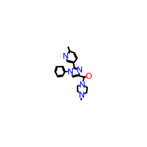 Cc1ccc(-c2nc(C(=O)N3CCN(C)CC3)cn2-c2ccccc2)cn1